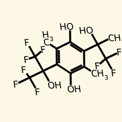 Cc1c(O)c(C(O)(C(F)(F)F)C(F)(F)F)c(C)c(O)c1C(C)(O)C(F)(F)F